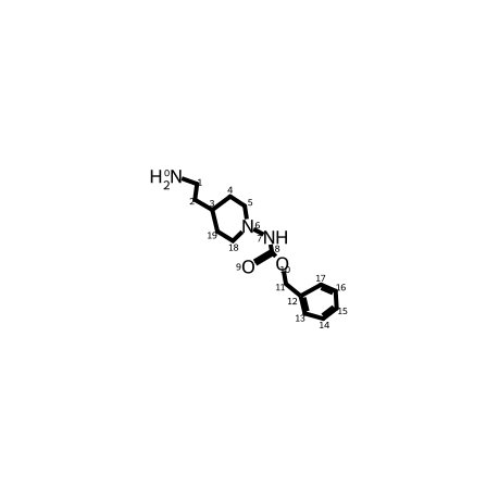 NCCC1CCN(NC(=O)OCc2ccccc2)CC1